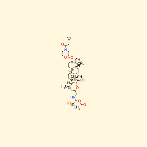 C[C@@H]1CC(CNC(OC=O)[C@@H](C)O)OC2[C@H]1[C@@]1(C)CC[C@@]34C[C@@]35CC[C@H](O[C@H]3CN(C(=O)CC6CC6)CCO3)C(C)(C)[C@@H]5CCC4[C@]1(C)[C@H]2O